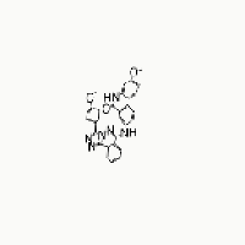 COc1ccc(-c2nnc3c4ccccc4c(Nc4cccc(C(=O)Nc5cccc(OC)c5)c4)nn23)cc1